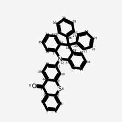 O=c1c2ccccc2sc2cc(N3c4ccccc4C(c4ccccc4)(c4ccccc4)c4ccccc43)ccc12